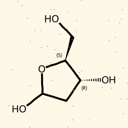 OC[C@@H]1OC(O)C[C@H]1O